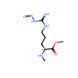 CN[C@@H](CCCNC(=N)NN=O)C(=O)OC